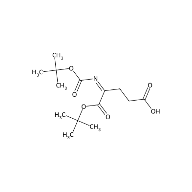 CC(C)(C)OC(=O)/N=C(/CCC(=O)O)C(=O)OC(C)(C)C